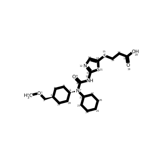 COC[C@H]1CC[C@H](N(C(=O)Nc2ncc(SCCC(=O)O)s2)C2CCCCC2)CC1